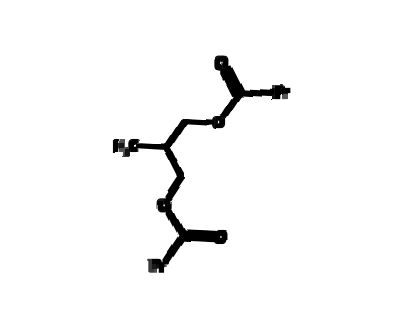 CC(COC(=O)C(C)C)COC(=O)C(C)C